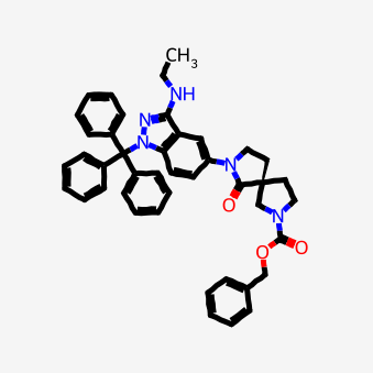 CCNc1nn(C(c2ccccc2)(c2ccccc2)c2ccccc2)c2ccc(N3CC[C@]4(CCN(C(=O)OCc5ccccc5)C4)C3=O)cc12